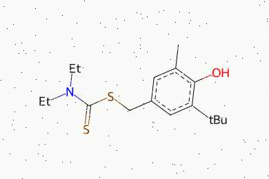 CCN(CC)C(=S)SCc1cc(C)c(O)c(C(C)(C)C)c1